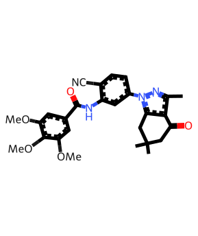 COc1cc(C(=O)Nc2cc(-n3nc(C)c4c3CC(C)(C)CC4=O)ccc2C#N)cc(OC)c1OC